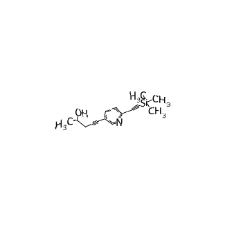 C[C@@H](O)CC#Cc1ccc(C#C[Si](C)(C)C)nc1